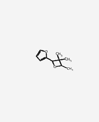 CC1OC(c2ccco2)C1(C)C